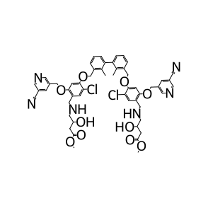 COC(=O)CC(O)CNCc1cc(Cl)c(OCc2cccc(-c3cccc(COc4cc(OCc5cncc(C#N)c5)c(CNCC(O)CC(=O)OC)cc4Cl)c3C)c2C)cc1OCc1cncc(C#N)c1